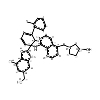 Cc1ccccc1C1=CC=CC(Nc2nccc3c(CN4CC[C@H](O)C4)ccnc23)(c2nc3cc(CO)cc(Cl)c3o2)C1C